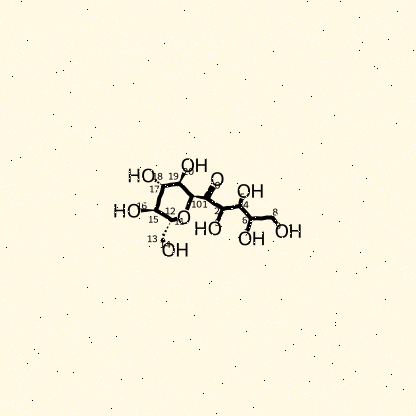 O=C(C(O)C(O)C(O)CO)[C@H]1O[C@H](CO)[C@@H](O)[C@H](O)[C@H]1O